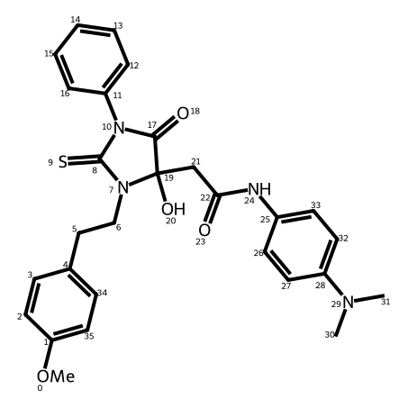 COc1ccc(CCN2C(=S)N(c3ccccc3)C(=O)C2(O)CC(=O)Nc2ccc(N(C)C)cc2)cc1